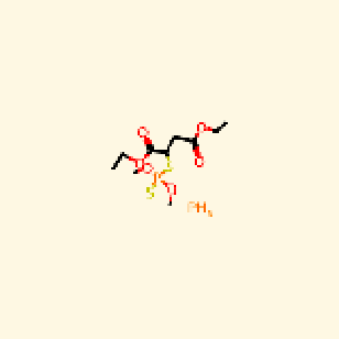 CCOC(=O)CC(SP(=S)(OC)OC)C(=O)OCC.P